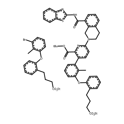 CCOC(=O)CCCc1ccccc1Oc1cccc(-c2ccc(N3CCc4cccc(C(=O)Nc5nc6ccccc6s5)c4C3)nc2C(=O)OC(C)(C)C)c1C.CCOC(=O)CCCc1ccccc1Oc1cccc(Br)c1C